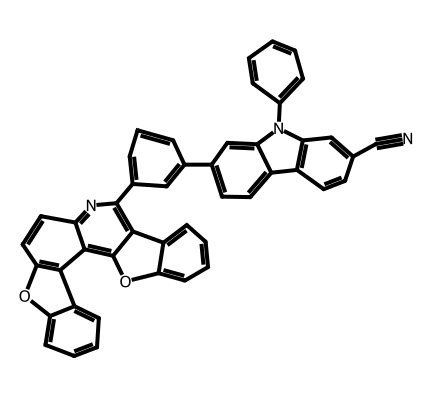 N#Cc1ccc2c3ccc(-c4cccc(-c5nc6ccc7oc8ccccc8c7c6c6oc7ccccc7c56)c4)cc3n(-c3ccccc3)c2c1